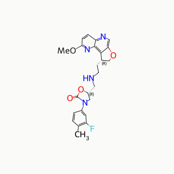 COc1ccc2ncc3c(c2n1)[C@@H](CCNC[C@@H]1CN(c2ccc(C)c(F)c2)C(=O)O1)CO3